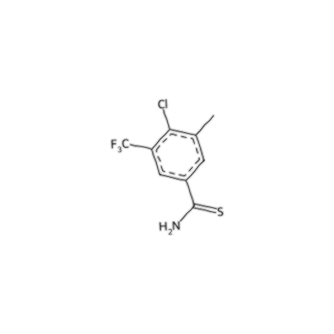 Cc1cc(C(N)=S)cc(C(F)(F)F)c1Cl